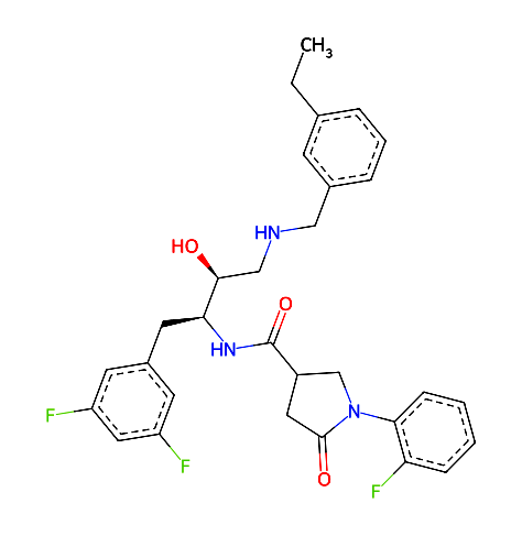 CCc1cccc(CNC[C@H](O)[C@H](Cc2cc(F)cc(F)c2)NC(=O)C2CC(=O)N(c3ccccc3F)C2)c1